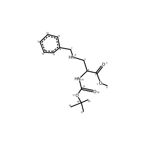 COC(=O)C(CNCc1ccccc1)NC(=O)OC(C)(C)C